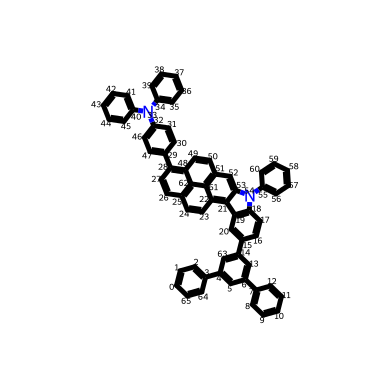 c1ccc(-c2cc(-c3ccccc3)cc(-c3ccc4c(c3)c3c5ccc6ccc(-c7ccc(N(c8ccccc8)c8ccccc8)cc7)c7ccc(cc3n4-c3ccccc3)c5c67)c2)cc1